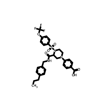 CCCc1ccc(CNC(=O)C2CN(c3ccc(C(=O)O)cc3)CCN2S(=O)(=O)c2ccc(OC(F)(F)F)cc2)cc1